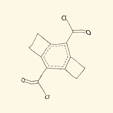 O=C(Cl)c1c2c(c(C(=O)Cl)c3c1CC3)CC2